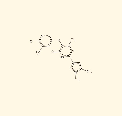 Cc1cc(-c2nc(C(F)(F)F)c(Oc3ccc(Cl)c(C(F)(F)F)c3)c(=O)[nH]2)nn1C